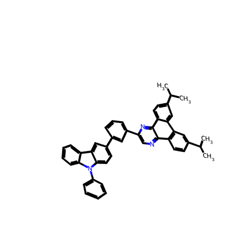 CC(C)c1ccc2c(c1)c1cc(C(C)C)ccc1c1nc(-c3cccc(-c4ccc5c(c4)c4ccccc4n5-c4ccccc4)c3)cnc21